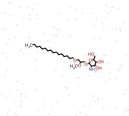 CCCCCCCCCCCCCCCCOCC(CO[C@@H]1OC(CO)[C@@H](O)[C@H](O)C1N)OC